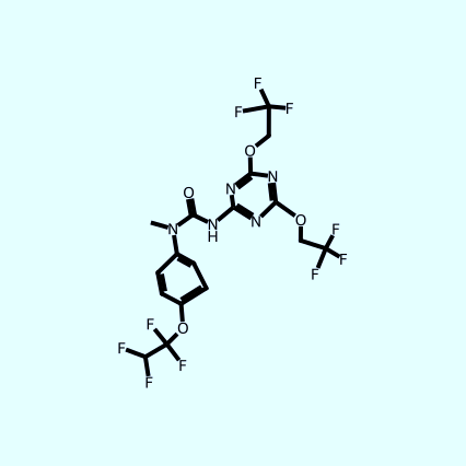 CN(C(=O)Nc1nc(OCC(F)(F)F)nc(OCC(F)(F)F)n1)c1ccc(OC(F)(F)C(F)F)cc1